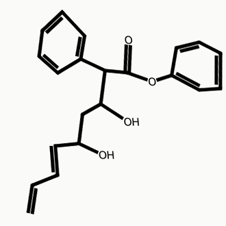 C=CC=CC(O)CC(O)C(C(=O)Oc1ccccc1)c1ccccc1